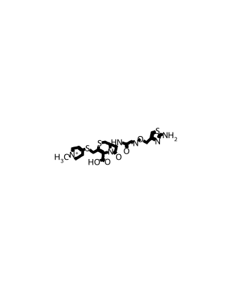 C[N+]1=CC=C(SCC2=C(C(=O)O)N3C(=O)C(NC(=O)C=NOCc4csc(N)n4)C3CS2)CC1